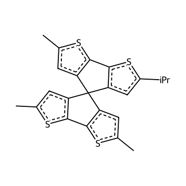 Cc1cc2c(s1)-c1sc(C)cc1C21c2cc(C)sc2-c2sc(C(C)C)cc21